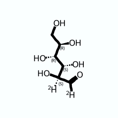 [2H]C(=O)[C@@]([2H])(O)[C@@H](O)[C@H](O)[C@H](O)CO